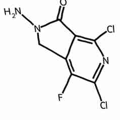 NN1Cc2c(F)c(Cl)nc(Cl)c2C1=O